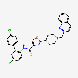 O=C(Nc1ccc(F)cc1-c1ccc(Cl)cc1)c1csc(C2CCN(Cc3ccc4ccccc4n3)CC2)n1